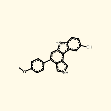 COc1ccc(-c2cc3[nH]c4ccc(O)cc4c3c3c[nH]cc23)cc1